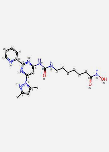 Cc1cc(C)n(-c2cc(NC(=O)NCCCCCCC(=O)NO)nc(-c3ccccn3)n2)n1